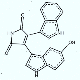 O=C1NC(=O)C(c2c[nH]c3ccc(O)cc23)=C1c1c[nH]c2ccccc12